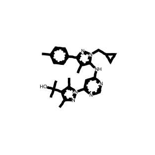 Cc1ccc(-c2nn(CC3CC3)c(Nc3cc(-n4nc(C)c(C(C)(C)O)c4C)ncn3)c2C)cc1